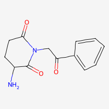 NC1CCC(=O)N(CC(=O)c2ccccc2)C1=O